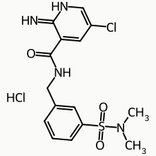 CN(C)S(=O)(=O)c1cccc(CNC(=O)c2cc(Cl)c[nH]c2=N)c1.Cl